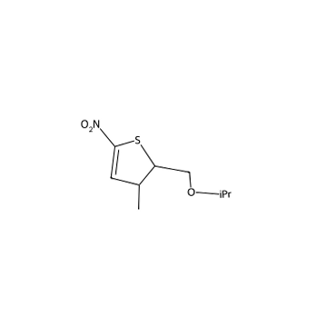 CC(C)OCC1SC([N+](=O)[O-])=CC1C